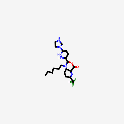 CCCCCCN1C2CCC(C(F)(F)F)N=C2C(=O)OC1C1CCC(N2CCNC2)NN1